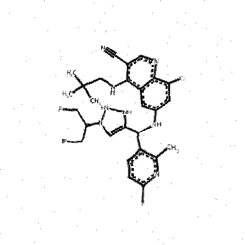 Cc1nc(F)ccc1[C@H](Nc1cc(Cl)c2ncc(C#N)c(NCC(C)(C)C)c2c1)C1=CN(C(CF)CF)NN1